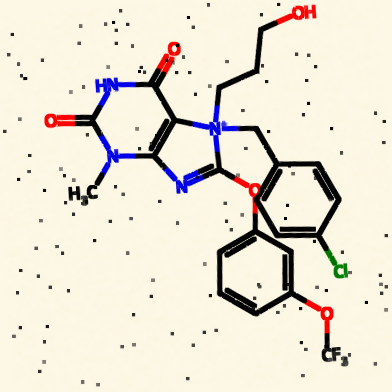 Cn1c2c(c(=O)[nH]c1=O)[N+](CCCO)(Cc1ccc(Cl)cc1)C(Oc1cccc(OC(F)(F)F)c1)=N2